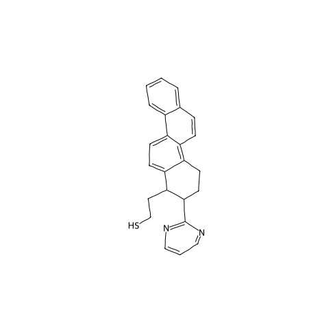 SCCC1c2ccc3c(ccc4ccccc43)c2CCC1c1ncccn1